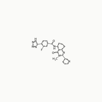 Cn1c(-c2cccnc2)nc2cccc(NC(=O)c3ccc(-c4nnn[nH]4)c(F)c3)c2c1=O